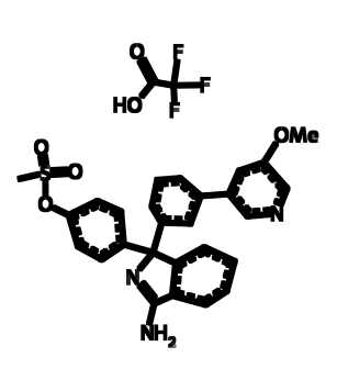 COc1cncc(-c2cccc(C3(c4ccc(OS(C)(=O)=O)cc4)N=C(N)c4ccccc43)c2)c1.O=C(O)C(F)(F)F